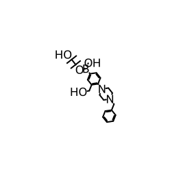 CC(C)(O)C(C)(C)OB(O)c1ccc(N2CCN(Cc3ccccc3)CC2)c(CO)c1